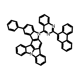 c1ccc(-c2ccc3c(c2)c2c4c5ccccc5n5c6ccccc6c(cc2n3-c2nc(-c3cc6ccccc6c6ccccc36)nc3ccccc23)c45)cc1